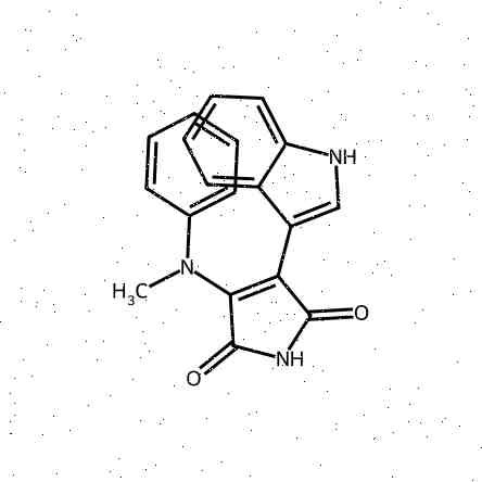 CN(C1=C(c2c[nH]c3ccccc23)C(=O)NC1=O)c1ccccc1